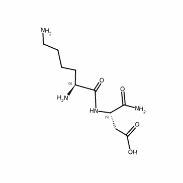 NCCCC[C@H](N)C(=O)N[C@@H](CC(=O)O)C(N)=O